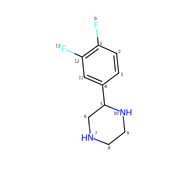 Fc1ccc(C2CNCCN2)cc1F